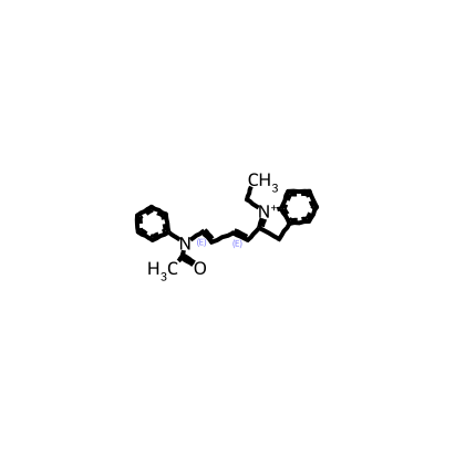 CC[N+]1=C(/C=C/C=C/N(C(C)=O)c2ccccc2)Cc2ccccc21